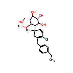 CCc1ccc(CC2=C(Cl)C=CC(C)([C@H]3[C@H](O)[C@@H](O)[C@H](O)[C@@H](CO)[C@@H]3OC)C2)cc1